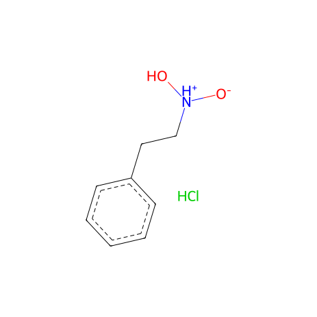 Cl.[O-][NH+](O)CCc1ccccc1